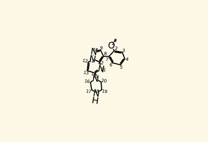 COc1ccccc1-c1cnn2ccc(N3CCNCC3)nc12